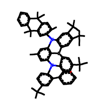 Cc1cc2c3c(c1)N(c1ccc(C(C)(C)C)cc1-c1ccccc1)c1ccc(C(C)(C)C)cc1B3c1cc3c(cc1N2c1cc2c(cc1C)C(C)(C)c1ccccc1C2(C)C)C(C)(C)CC3(C)C